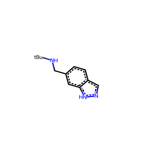 CC(C)(C)NCc1ccc2cn[nH]c2c1